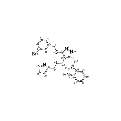 Brc1cccc(CSc2nnc(Cc3c[nH]c4ccccc34)n2CCCC2=CCC=N2)c1